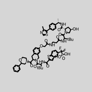 Cc1ncsc1-c1ccc([C@H](C)NC(=O)[C@@H]2C[C@@H](O)CN2C(=O)C(NC(=O)CCNC(=O)COc2ccc3c(c2)CN(C(=O)C(NC(=O)c2cc4cc(C(F)(F)P(=O)(O)O)ccc4s2)C(C)(C)C)C(C(=O)N2CCOC(c4ccccc4)C2)C3)C(C)(C)C)cc1